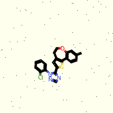 Cc1ccc2c(c1)OCCc1cc(-c3ncnn3-c3ccccc3Cl)sc1-2